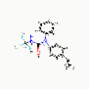 C=Cc1ccc(N(C(=O)NC(F)(F)F)c2ccccc2)cc1